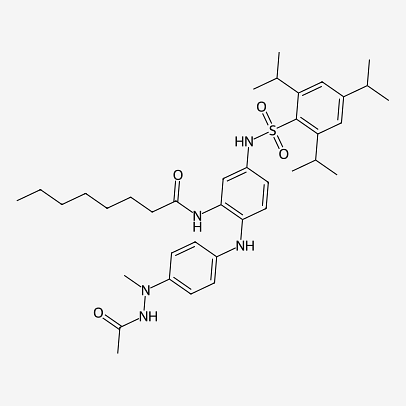 CCCCCCCC(=O)Nc1cc(NS(=O)(=O)c2c(C(C)C)cc(C(C)C)cc2C(C)C)ccc1Nc1ccc(N(C)NC(C)=O)cc1